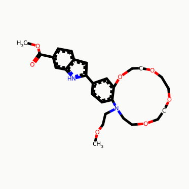 COCCN1CCOCCOCCOCCOc2cc(-c3cc4ccc(C(=O)OC)cc4[nH]3)ccc21